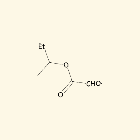 CCC(C)OC(=O)[C]=O